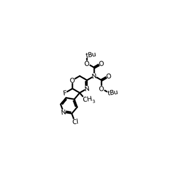 CC(C)(C)OC(=O)N(C(=O)OC(C)(C)C)C1=NC(C)(c2ccnc(Cl)c2)C(F)OC1